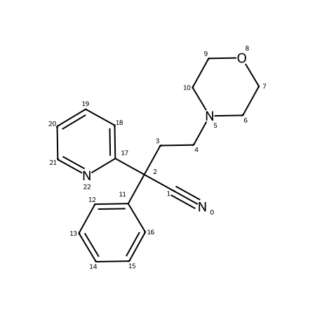 N#CC(CCN1CCOCC1)(c1ccccc1)c1ccccn1